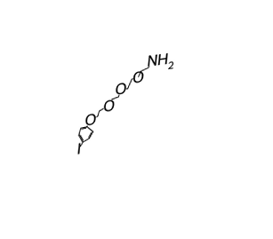 NCCOCCOCCOCCOc1ccc(I)cc1